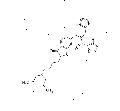 CCCN(CCC)CCCCC1Cc2cc(CN(Cc3ncc[nH]3)C(C)c3ncc[nH]3)ccc2C1=O